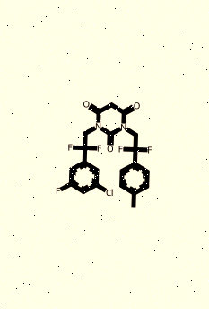 Cc1ccc(C(F)(F)CN2C(=O)CC(=O)N(CC(F)(F)c3cc(F)cc(Cl)c3)C2=O)cc1